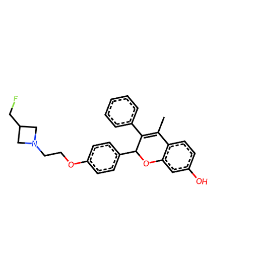 CC1=C(c2ccccc2)C(c2ccc(OCCN3CC(CF)C3)cc2)Oc2cc(O)ccc21